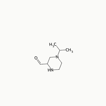 CC(C)N1CCNC(C=O)C1